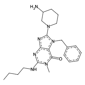 CCCCNc1nc2nc(N3CCCC(N)C3)n(Cc3ccccc3)c2c(=O)n1C